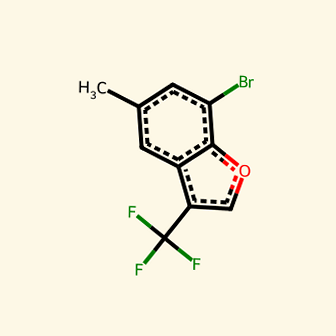 Cc1cc(Br)c2occ(C(F)(F)F)c2c1